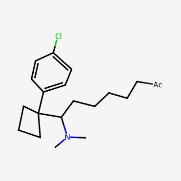 CC(=O)CCCCCC(N(C)C)C1(c2ccc(Cl)cc2)CCC1